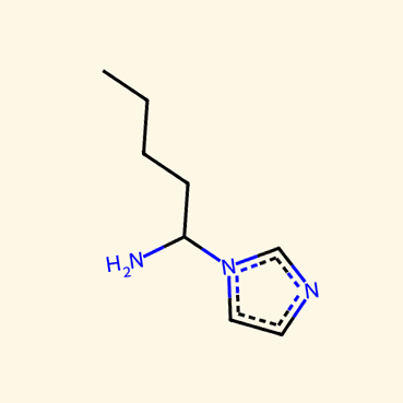 CCCCC(N)n1ccnc1